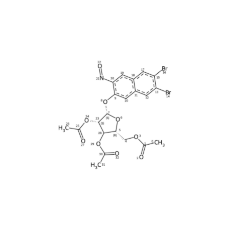 CC(=O)OC[C@H]1O[C@@H](Oc2cc3cc(Br)c(Br)cc3cc2N=O)[C@@H](OC(C)=O)C1OC(C)=O